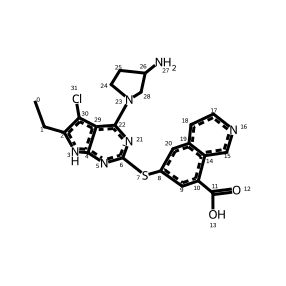 CCc1[nH]c2nc(Sc3cc(C(=O)O)c4cnccc4c3)nc(N3CCC(N)C3)c2c1Cl